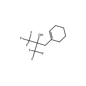 OC(CC1=CCCCC1)(C(F)(F)F)C(F)(F)F